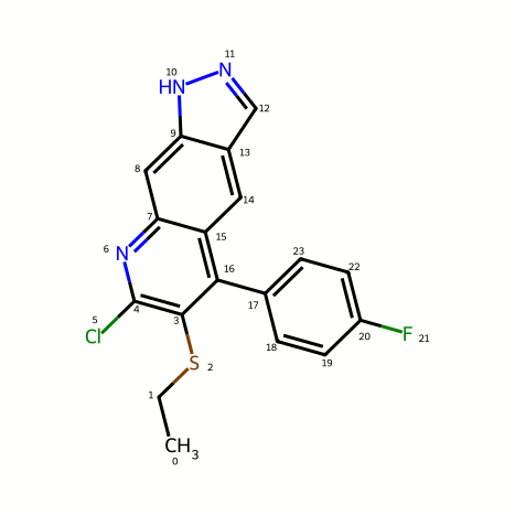 CCSc1c(Cl)nc2cc3[nH]ncc3cc2c1-c1ccc(F)cc1